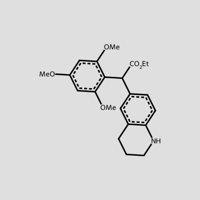 CCOC(=O)C(c1ccc2c(c1)CCCN2)c1c(OC)cc(OC)cc1OC